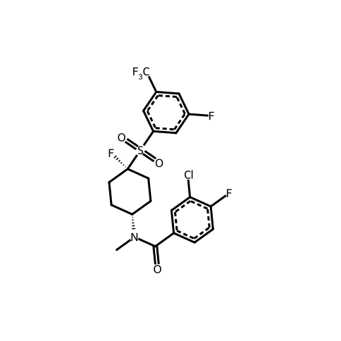 CN(C(=O)c1ccc(F)c(Cl)c1)[C@H]1CC[C@](F)(S(=O)(=O)c2cc(F)cc(C(F)(F)F)c2)CC1